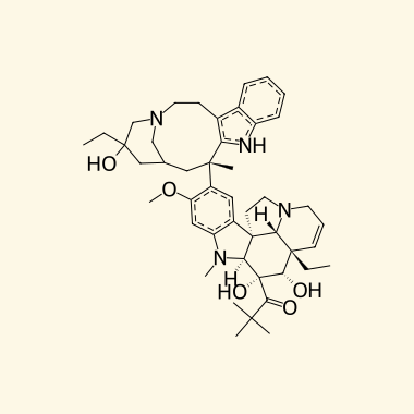 CCC1(O)CC2CN(CCc3c([nH]c4ccccc34)[C@](C)(c3cc4c(cc3OC)N(C)[C@@H]3[C@](O)(C(=O)C(C)(C)C)[C@@H](O)[C@@]5(CC)C=CCN6CC[C@@]43[C@H]65)C2)C1